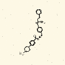 CN1CCC(c2ccc(C(=O)N=[N+]=Nc3ccc(C4CC4(N)CCc4ccccc4)cc3)cc2)CC1